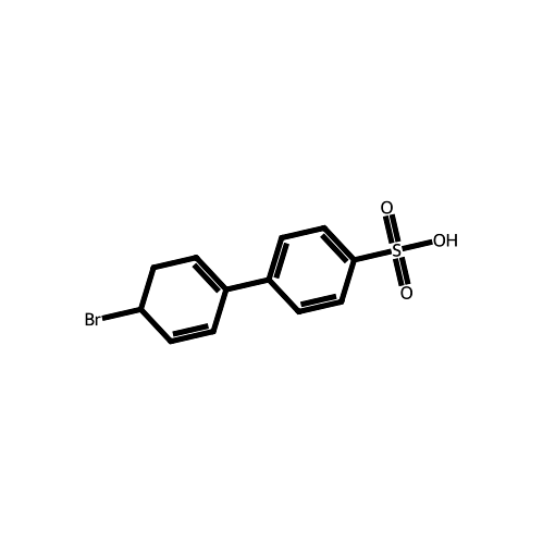 O=S(=O)(O)c1ccc(C2=CCC(Br)C=C2)cc1